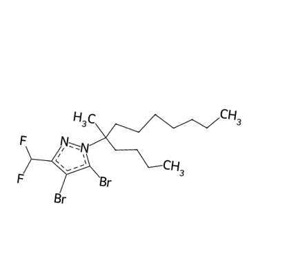 CCCCCCCC(C)(CCCC)n1nc(C(F)F)c(Br)c1Br